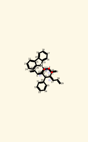 C=C/C=C\C(=C/C=C)C(C(/C=C\C(=C)n1c2ccccc2c2ccccc21)=C/C=C)c1ccccc1